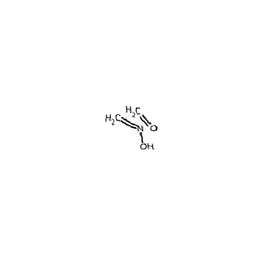 C=NO.C=O